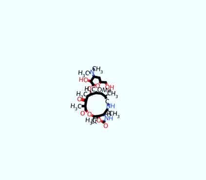 CC[C@H]1OC(=O)C(C)C(=O)[C@H](C)[C@@H](O[C@@H]2OC(CO)CC(N(C)C)C2O)[C@](C)(OC)C[C@@H](C)CN[C@H](C)[C@H]2NC(=O)O[C@@]21C